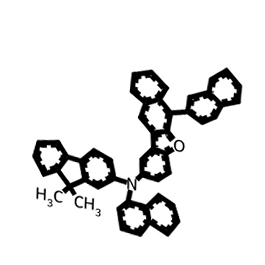 CC1(C)c2ccccc2-c2ccc(N(c3ccc4oc5c(-c6ccc7ccccc7c6)c6ccccc6cc5c4c3)c3cccc4ccccc34)cc21